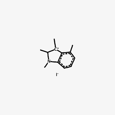 Cc1cccc2c1[C+](C)C(C)N2C.[I-]